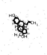 C=CCC1Cc2cc(O)ccc2[C@H]2CC[C@]3(C)[C@H](O)CC[C@H]3[C@H]12